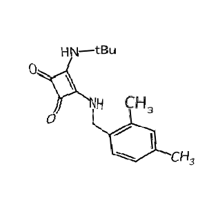 Cc1ccc(CNc2c(NC(C)(C)C)c(=O)c2=O)c(C)c1